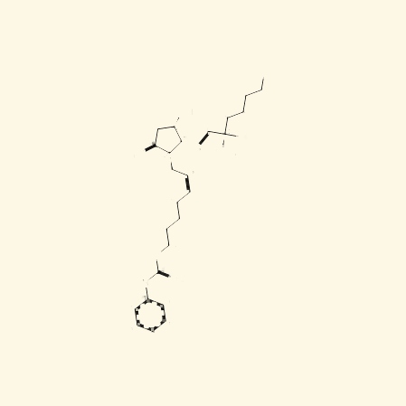 CCCCC[C@](C)(O)/C=C/[C@H]1[C@H](O)CC(=O)[C@@H]1C/C=C\CCCCOC(=O)Nc1ccccc1